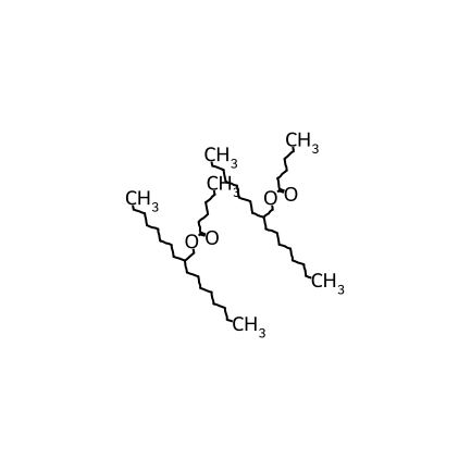 CCCCCCCCC(CCCCCCCC)COC(=O)CCCCC.CCCCCCCCC(CCCCCCCC)COC(=O)CCCCC